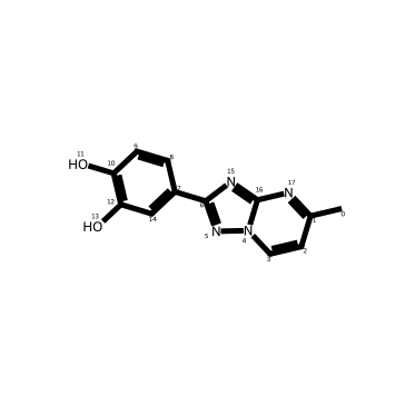 Cc1c[c]n2nc(-c3ccc(O)c(O)c3)nc2n1